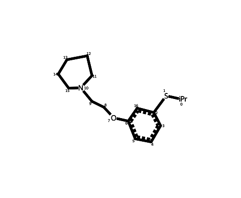 CC(C)Sc1cccc(OCCN2CCCCC2)c1